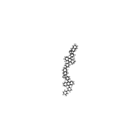 c1ccc(-c2cccc(-c3c4ccccc4c(-c4ccc5c(c4)oc4cc6ccc(-c7ccc(-c8c9ccccc9c(-c9ccc%10c(c9)oc9cc%11ccccc%11cc9%10)c9ccccc89)cc7)cc6cc45)c4ccccc34)c2)cc1